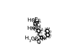 CCOC(=O)c1cn(Cc2ccc3ccccc3c2)cc1Cc1cccc(C(=N)N)c1.O=C(O)C(F)(F)F